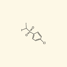 O=S(=O)(c1ccc(Cl)cc1)C(I)I